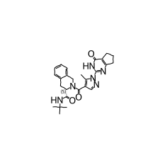 Cc1c(C(=O)N2Cc3ccccc3C[C@H]2C(=O)NC(C)(C)C)cnn1-c1nc2c(c(=O)[nH]1)CCC2